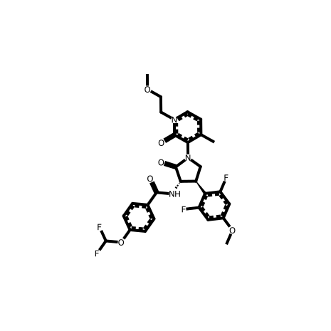 COCCn1ccc(C)c(N2C[C@@H](c3c(F)cc(OC)cc3F)[C@H](NC(=O)c3ccc(OC(F)F)cc3)C2=O)c1=O